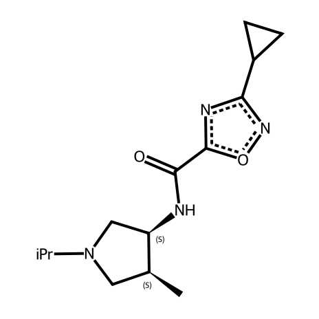 CC(C)N1C[C@H](C)[C@H](NC(=O)c2nc(C3CC3)no2)C1